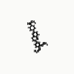 CN[C@H]1CC[C@@H](C2=CN3CC=C(c4ccc(OC)c(OC)c4)N=C3C=C2)CC1